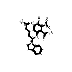 CC(=O)c1c(OC(CCCC(N)=O)N2CCc3ccccc32)ccc(Cl)c1[N+](=O)[O-]